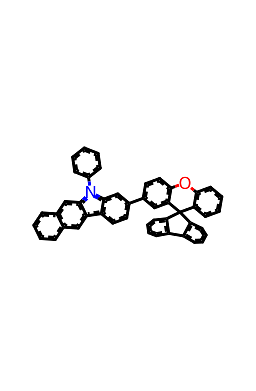 c1ccc(-n2c3cc(-c4ccc5c(c4)C4(c6ccccc6O5)c5ccccc5-c5ccccc54)ccc3c3cc4ccccc4cc32)cc1